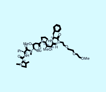 CC[C@H](C)[C@@H]([C@@H](CC(=O)N1CCC[C@H]1[C@H](OC)[C@@H](C)C(=P)N[C@@H](Cc1ccccc1)C(=O)OCCOCCOCCOC)OC)N(C)C(=O)[C@@H](NC(=O)[C@@H]1C(C)CCN1C)C(C)C